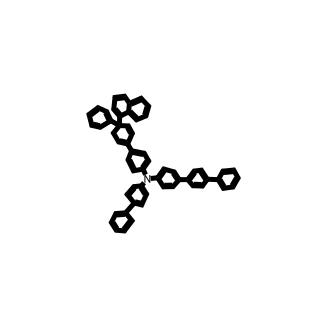 C1=CC(c2ccccc2)(c2cccc3ccccc23)CC=C1c1ccc(N(c2ccc(-c3ccccc3)cc2)c2ccc(-c3ccc(-c4ccccc4)cc3)cc2)cc1